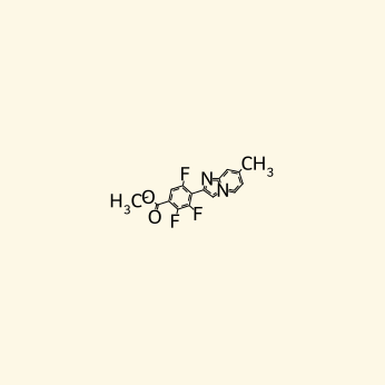 COC(=O)c1cc(F)c(-c2cn3ccc(C)cc3n2)c(F)c1F